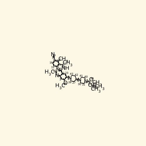 COc1cc2nc(C)nc(N[C@H](C)c3cccc(C#N)c3C)c2cc1N1CCC(N2CCN(C(=O)OC(C)(C)C)CC2)CC1